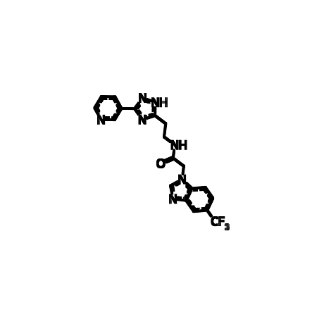 O=C(Cn1cnc2cc(C(F)(F)F)ccc21)NCCc1nc(-c2cccnc2)n[nH]1